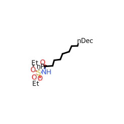 CCCCCCCCCCCCCCCCCC(=O)NS(=O)(CCC)(OCC)OCC